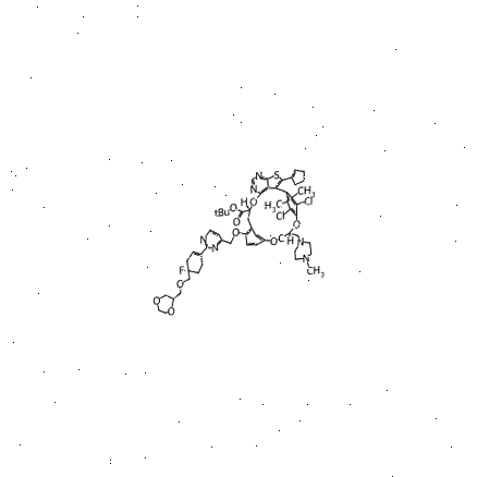 Cc1c(Cl)c2c(Cl)c(C)c1-c1c(C3=CCCC3)sc3ncnc(c13)O[C@@H](C(=O)OC(C)(C)C)Cc1cc(ccc1OCc1ccnc(C3=CC[C@](F)(COC[C@@H]4COCCO4)CC3)n1)OC[C@@H](CN1CCN(C)CC1)O2